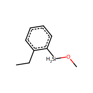 CCc1ccccc1[SiH2]OC